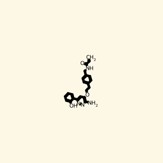 C=CC(=O)NCc1ccc(CCOc2cc(-c3ccccc3O)nnc2N)cc1